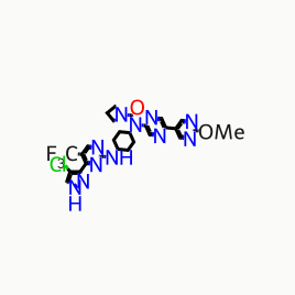 COc1ncc(-c2cnc(N(C(=O)N3CCC3)C3CCC(Nc4ncc(C(F)(F)F)c(-c5n[nH]cc5Cl)n4)CC3)cn2)cn1